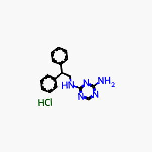 Cl.Nc1ncnc(NCC(c2ccccc2)c2ccccc2)n1